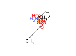 CCCCC/C=C\C/C=C\C/C=C\CCCCC(=O)O[C@H](COC(=O)CCCCCCCCCCCCCCCC)COP(=O)(O)OC[C@H](N)C(=O)O